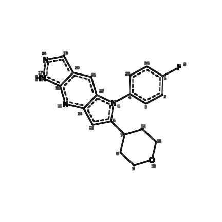 Fc1ccc(-n2c(C3CCOCC3)cc3nc4[nH]ncc4cc32)cc1